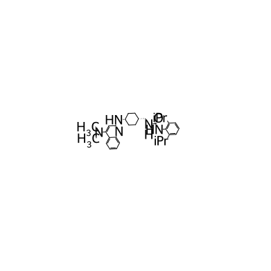 CC(C)c1cccc(C(C)C)c1NC(=O)NC[C@H]1CC[C@@H](Nc2cc(N(C)C)c3ccccc3n2)CC1